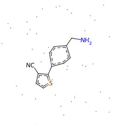 N#Cc1ccsc1-c1ccc(CN)cc1